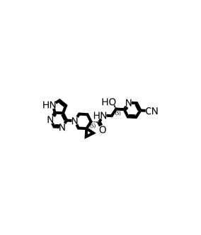 N#Cc1ccc([C@@H](O)CNC(=O)[C@H]2CCN(c3ncnc4[nH]ccc34)CC23CC3)nc1